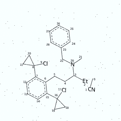 CC#N.CCC(CCc1c(C2(Cl)CC2)cccc1C1(Cl)CC1)N(C)Cc1ccccc1